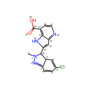 CN1N=C2C=CC(Cl)=CC2C1c1cc2nccc(C(=O)O)c2[nH]1